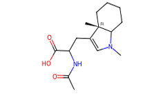 CC(=O)NC(CC1=CN(C)C2CCCC[C@@]12C)C(=O)O